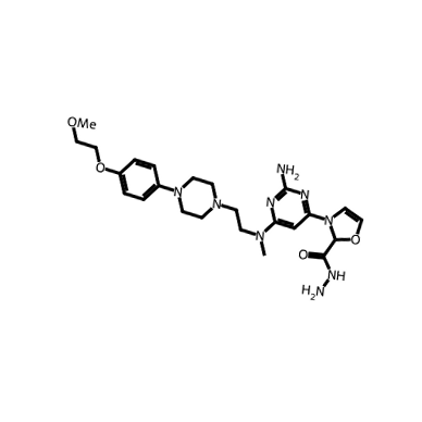 COCCOc1ccc(N2CCN(CCN(C)c3cc(N4C=COC4C(=O)NN)nc(N)n3)CC2)cc1